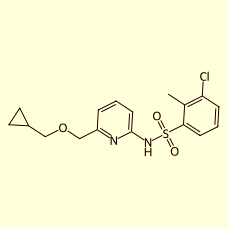 Cc1c(Cl)cccc1S(=O)(=O)Nc1cccc(COCC2CC2)n1